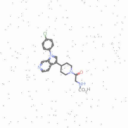 O=C(O)NCC(=O)N1CCC(c2cn(-c3ccc(Cl)cc3)c3cnccc23)CC1